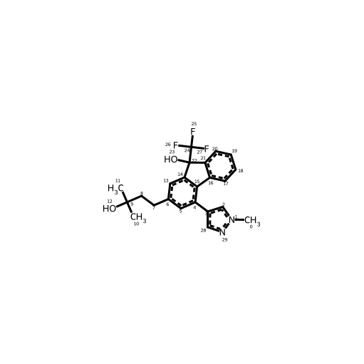 Cn1cc(-c2cc(CCC(C)(C)O)cc3c2-c2ccccc2C3(O)C(F)(F)F)cn1